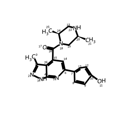 Cc1n[nH]c2nc(-c3ccc(O)cc3)cc(C(=O)N3C[C@H](C)NC[C@@H]3C)c12